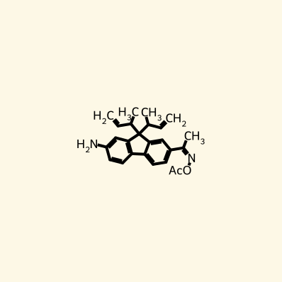 C=CC(C)C1(C(C)C=C)c2cc(N)ccc2-c2ccc(/C(C)=N\OC(C)=O)cc21